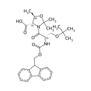 C[C@H]1OC(C)(C)N(C(=O)[C@H](COC(C)(C)C)NC(=O)OCC2c3ccccc3-c3ccccc32)[C@@H]1C(=O)O